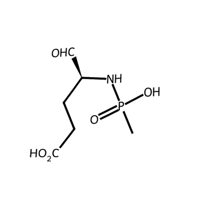 CP(=O)(O)N[C@H](C=O)CCC(=O)O